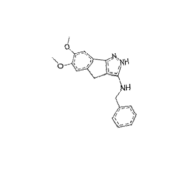 COc1cc2c(cc1OC)-c1n[nH]c(NCc3ccccc3)c1C2